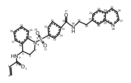 C=CC(=O)NC1CCN(S(=O)(=O)c2ccc(C(=O)NCCc3ccc4cccnc4c3)cc2)c2ccccc21